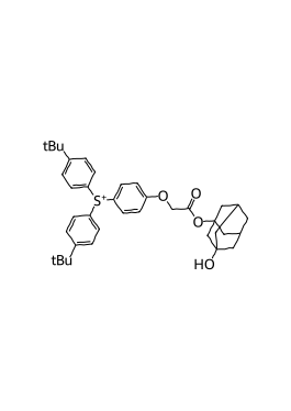 CC(C)(C)c1ccc([S+](c2ccc(OCC(=O)OC34CC5CC(CC(O)(C5)C3)C4)cc2)c2ccc(C(C)(C)C)cc2)cc1